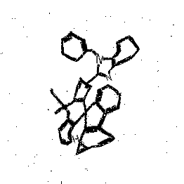 CC1(C)c2ccccc2C2(C3=C(C=CC4=C[C@H]43)c3ccccc32)c2cc(-c3nc4ccccc4n3-c3ccccc3)ccc21